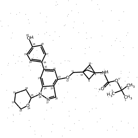 CC(C)(C)OC(=O)NC12CC(COc3cc(-c4ccc(O)cc4)cc4c3cnn4C3CCCCO3)(C1)C2